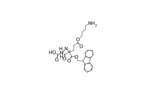 NCCCCOC(=O)CC[C@](N)(C(=O)NC(=O)O)C(=O)OCC1c2ccccc2-c2ccccc21